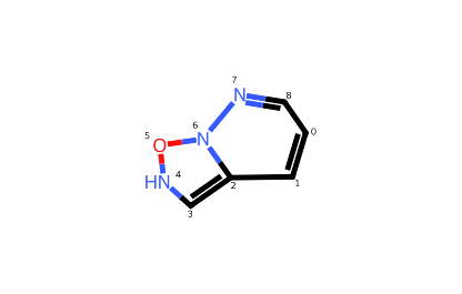 C1=CC2=CNON2N=C1